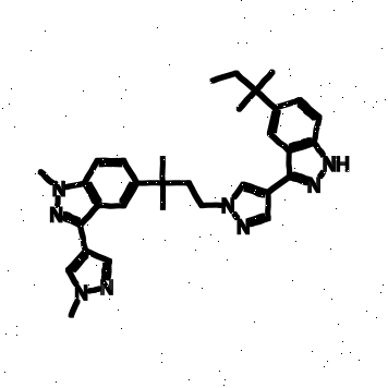 CCC(C)(C)c1ccc2[nH]nc(-c3cnn(CCC(C)(C)c4ccc5c(c4)c(-c4cnn(C)c4)nn5C)c3)c2c1